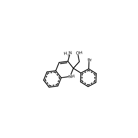 NC1=Cc2ccccc2NC1(CO)c1ccccc1Br